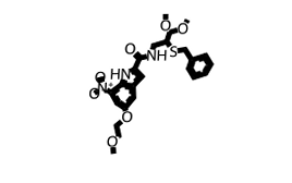 COCCOc1cc([N+](=O)[O-])c2[nH]c(C(=O)NCC(SCc3ccccc3)C(OC)OC)cc2c1